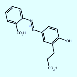 O=C(O)CCc1cc(/N=N/c2ccccc2C(=O)O)ccc1O